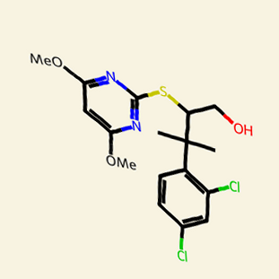 COc1cc(OC)nc(SC(CO)C(C)(C)c2ccc(Cl)cc2Cl)n1